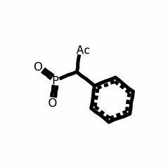 CC(=O)C(c1ccccc1)P(=O)=O